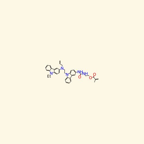 C=CCN(CCn1c2ccccc2c2cc(NC(=O)NCCOC(=O)C(=C)C)ccc21)c1ccc2c(c1)c1ccccc1n2CC